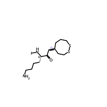 NCCCC[C@H](NI)C(=O)/C=C1/CCCSSCC1